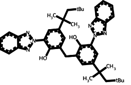 CC(C)(C)CC(C)(C)c1cc([CH]c2cc(C(C)(C)CC(C)(C)C)cc(-n3nc4ccccc4n3)c2O)c(O)c(-n2nc3ccccc3n2)c1